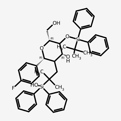 CC(C)(CC1[C@@H](O)C(O[Si](c2ccccc2)(c2ccccc2)C(C)(C)C)[C@@H](CO)O[C@H]1c1ccc(F)cc1)[Si](O)(c1ccccc1)c1ccccc1